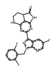 C[C@@]12CCNc3nc(-c4nn(Cc5c(F)cccc5F)c5ncc(F)cc45)nc(c31)NC2=O